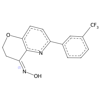 O/N=C1/CCOc2ccc(-c3cccc(C(F)(F)F)c3)nc21